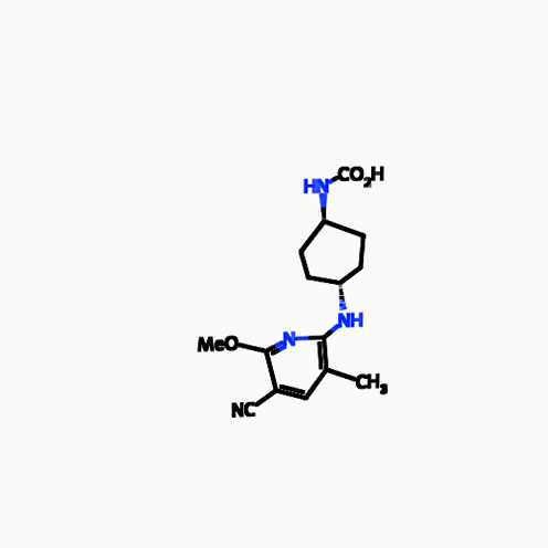 COc1nc(N[C@H]2CC[C@H](NC(=O)O)CC2)c(C)cc1C#N